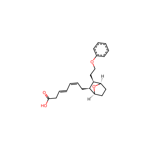 O=C(O)CC=C/C=C\C[C@H]1[C@@H](CCOc2ccccc2)[C@H]2CC[C@@H]1O2